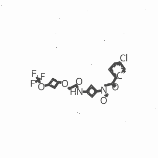 O=CN(CC(=O)c1ccc(Cl)cc1)C12CC(NC(=O)COC3CC(OC(F)(F)F)C3)(C1)C2